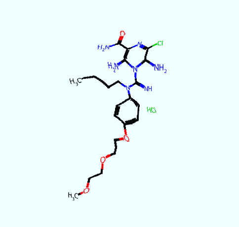 CCCCN(C(=N)N1C(N)=C(C(N)=O)N=C(Cl)C1N)c1ccc(OCCOCCOC)cc1.Cl